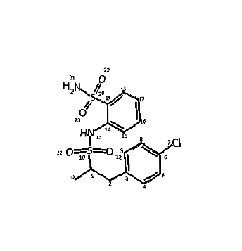 CC(Cc1ccc(Cl)cc1)S(=O)(=O)Nc1ccccc1S(N)(=O)=O